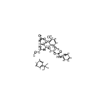 CC(C)(C)c1ccccc1.COCc1nc(N=S(=O)=O)c(Oc2cc(OC)ccc2Cl)c(OCCOC(=O)Nc2ccccn2)n1